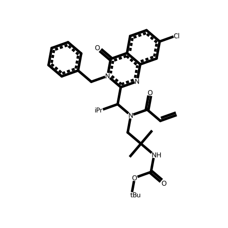 C=CC(=O)N(CC(C)(C)NC(=O)OC(C)(C)C)C(c1nc2cc(Cl)ccc2c(=O)n1Cc1ccccc1)C(C)C